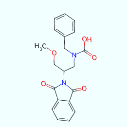 COCC(CN(Cc1ccccc1)C(=O)O)N1C(=O)c2ccccc2C1=O